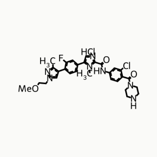 COCCn1cc(-c2ccc(-c3cnc(C(=O)Nc4ccc(C(=O)N5CCNCC5)c(Cl)c4)n3C)cc2F)c(C)n1.Cl